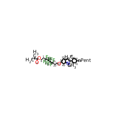 C=C(C)C(=O)OCCC(F)(F)C(F)(F)C(F)(F)C(F)(F)CCOc1ccc2cc(-c3ccc(CCCCC)cc3C)n(C)c2c1